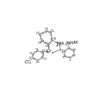 CC(=O)Nc1ccccc1C(C)Nc1ccccc1Oc1ccc(Cl)cc1